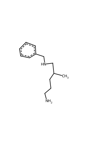 CC(CCCN)CNCc1ccccc1